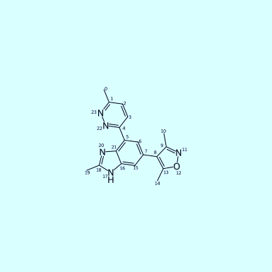 Cc1ccc(-c2cc(-c3c(C)noc3C)cc3[nH]c(C)nc23)nn1